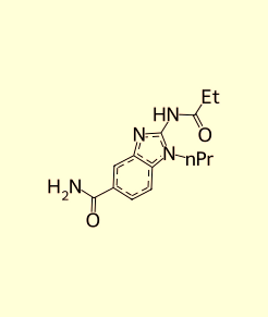 CCCn1c(NC(=O)CC)nc2cc(C(N)=O)ccc21